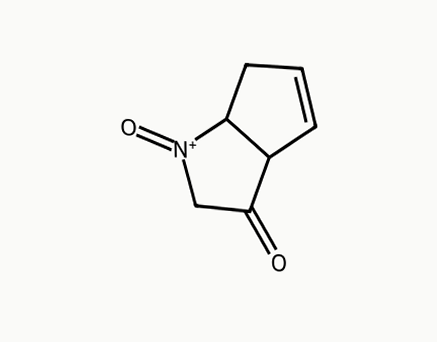 O=C1C[N+](=O)C2CC=CC12